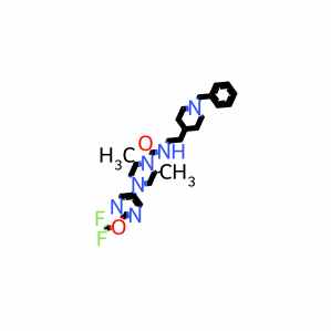 C[C@@H]1CN(c2cnc(OC(F)F)nc2)C[C@@H](C)N1C(=O)NCCC1CCN(Cc2ccccc2)CC1